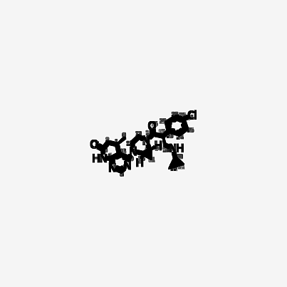 C[C@@H]1CC(=O)Nc2ncnc(N3CCN(C(=O)[C@H](CNC4CC4)c4ccc(Cl)cc4)[C@@H]4C[C@@H]43)c21